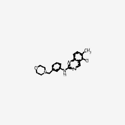 Cc1ccc2nc(Nc3cccc(CN4CCOCC4)c3)ncc2c1Cl